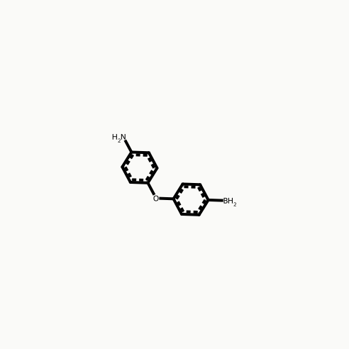 Bc1ccc(Oc2ccc(N)cc2)cc1